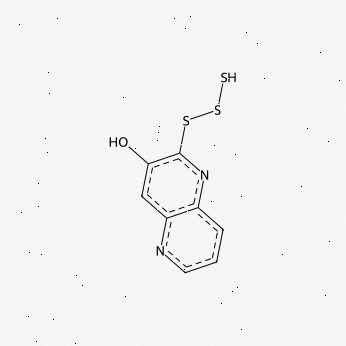 Oc1cc2ncccc2nc1SSS